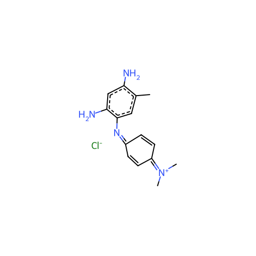 Cc1cc(N=C2C=CC(=[N+](C)C)C=C2)c(N)cc1N.[Cl-]